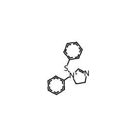 C1=NCC[N+]1(Sc1ccccc1)c1ccccc1